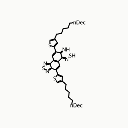 CCCCCCCCCCCCCCCc1csc(C2=Cc3c(cc(-c4cc(CCCCCCCCCCCCCCC)cs4)c4nsnc34)/C(=N/S)C2=N)c1